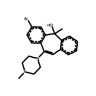 CN1CCN(C2=Cc3ccccc3C(C)(O)c3cc(Br)ccc32)CC1